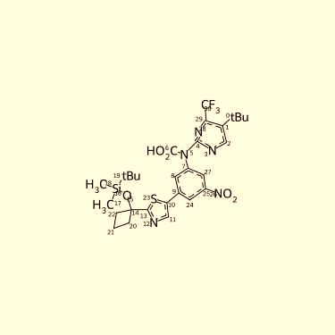 CC(C)(C)c1cnc(N(C(=O)O)c2cc(-c3cnc(C4(O[Si](C)(C)C(C)(C)C)CCC4)s3)cc([N+](=O)[O-])c2)nc1C(F)(F)F